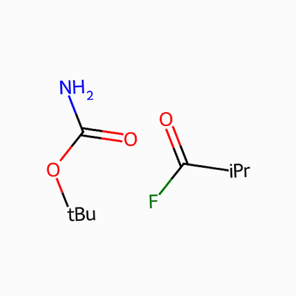 CC(C)(C)OC(N)=O.CC(C)C(=O)F